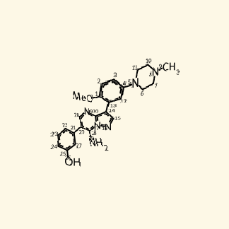 COc1ccc(N2CCN(C)CC2)cc1-c1cnn2c(N)c(-c3cccc(O)c3)cnc12